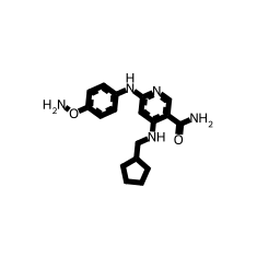 NOc1ccc(Nc2cc(NCC3CCCC3)c(C(N)=O)cn2)cc1